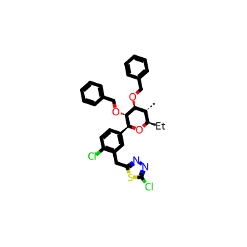 CC[C@H]1O[C@@H](c2ccc(Cl)c(Cc3nnc(Cl)s3)c2)[C@H](OCc2ccccc2)[C@@H](OCc2ccccc2)[C@@H]1C